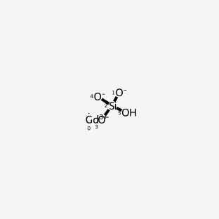 [Gd+3].[O-][Si]([O-])([O-])O